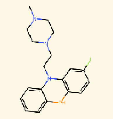 CN1CCN(CCN2c3ccccc3Pc3ccc(F)cc32)CC1